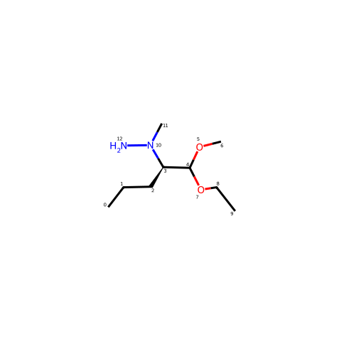 CCC[C@H](C(OC)OCC)N(C)N